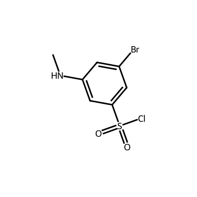 CNc1cc(Br)cc(S(=O)(=O)Cl)c1